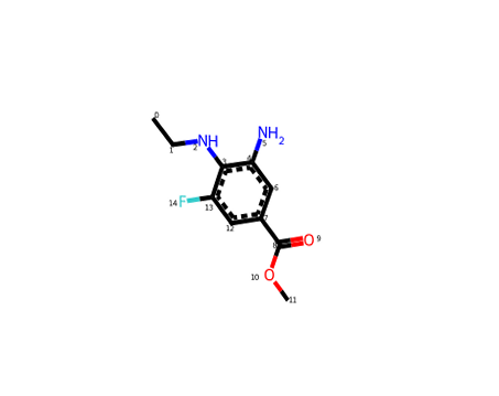 CCNc1c(N)cc(C(=O)OC)cc1F